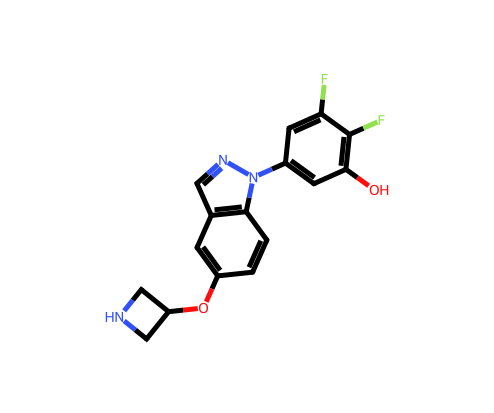 Oc1cc(-n2ncc3cc(OC4CNC4)ccc32)cc(F)c1F